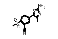 Cc1nc(N)sc1-c1ccc(S(C)(=O)=O)c(C#N)c1